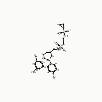 O=S(=O)(CCNS(=O)(=O)C1CC1)NC[C@@H]1CC[C@@H](c2ccc(Cl)cc2Cl)N(c2ccc(Cl)cc2)C1